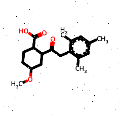 COC1CCC(C(=O)O)C(C(=O)Cc2c(C)cc(C)cc2C)C1